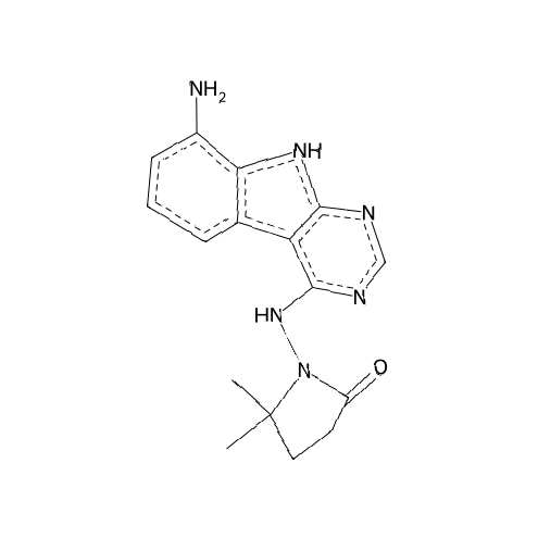 CC1(C)CCC(=O)N1Nc1ncnc2[nH]c3c(N)cccc3c12